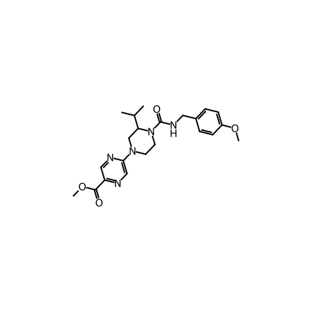 COC(=O)c1cnc(N2CCN(C(=O)NCc3ccc(OC)cc3)C(C(C)C)C2)cn1